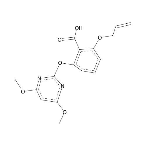 C=CCOc1cccc(Oc2nc(OC)cc(OC)n2)c1C(=O)O